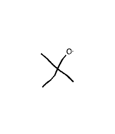 CC(C)(C)[O]